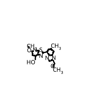 COCc1cnc2c(-c3nc4c(CO)cc(OC)nc4s3)cc(C)cc2n1